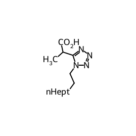 CCCCCCCCCn1nnnc1C(C)C(=O)O